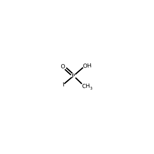 CP(=O)(O)I